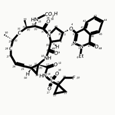 CCn1nc(O[C@@H]2C[C@H]3C(=O)N[C@]4(C(=O)NS(=O)(=O)C5(CF)CC5)C[C@H]4C=CCC[C@H](C)C[C@@H](C)[C@H](NC(=O)O)C(=O)N3C2)c2ccccc2c1=O